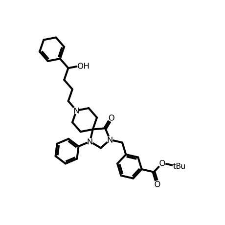 CC(C)(C)OC(=O)c1cccc(CN2CN(c3ccccc3)C3(CCN(CCCC(O)C4=CCCC=C4)CC3)C2=O)c1